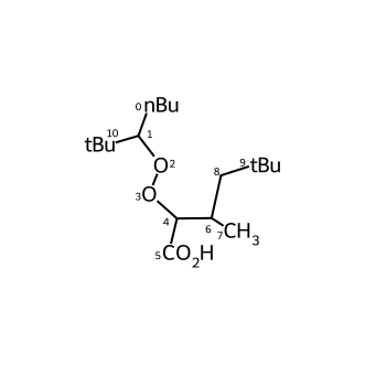 CCCCC(OOC(C(=O)O)C(C)CC(C)(C)C)C(C)(C)C